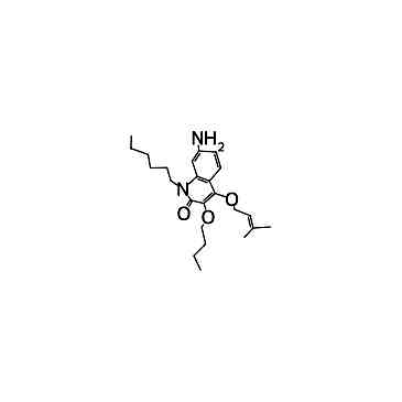 CCCCCCn1c(=O)c(OCCCC)c(OCC=C(C)C)c2ccc(N)cc21